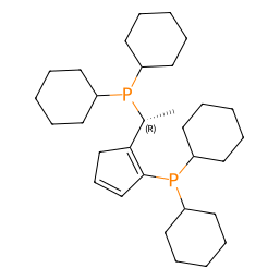 C[C@H](C1=C(P(C2CCCCC2)C2CCCCC2)C=CC1)P(C1CCCCC1)C1CCCCC1